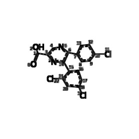 O=C(O)c1cnc(-c2ccc(Cl)cc2)c(-c2ccc(Cl)cc2Cl)n1